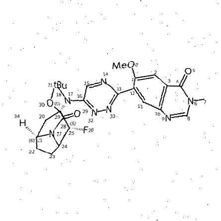 COc1cc2c(=O)n(C)cnc2cc1-c1ncc(N(C)[C@H]2C[C@@H]3CCC([C@H]2F)N3C(=O)OC(C)(C)C)nn1